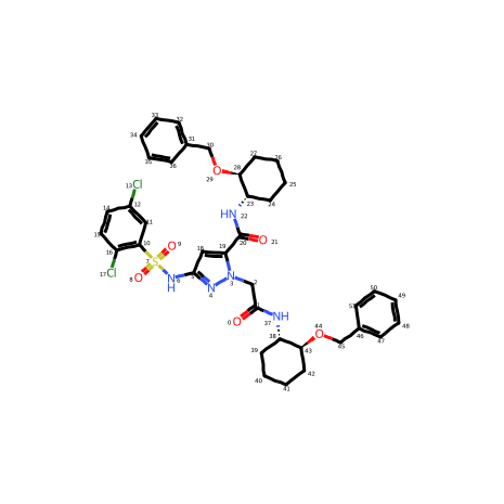 O=C(Cn1nc(NS(=O)(=O)c2cc(Cl)ccc2Cl)cc1C(=O)N[C@H]1CCCC[C@@H]1OCc1ccccc1)N[C@H]1CCCC[C@@H]1OCc1ccccc1